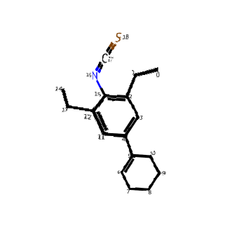 CCc1cc(C2=CCCCC2)cc(CC)c1N=C=S